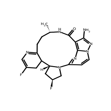 C[C@H]1CCC2=NC=C(F)CC2[C@H]2C[C@H](F)CN2c2ccn3nc(N)c(c3n2)C(=O)N1